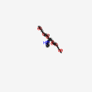 C=CC(=O)OCCCCCCOc1ccc(C(=O)OCCc2ccc(CCOC(=O)c3ccc(OCCCCCCOC(=O)C=C)cc3)c(/C=N/Nc3nc4ccccc4s3)c2)cc1